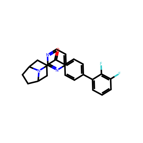 O=C(c1ccc(-c2cccc(F)c2F)cc1)C1CC2CCC(C1)N2c1ncccn1